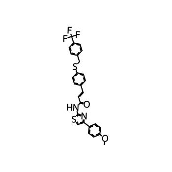 COc1ccc(-c2csc(NC(=O)/C=C/c3ccc(SCc4ccc(C(F)(F)F)cc4)cc3)n2)cc1